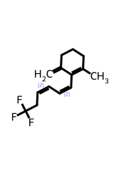 C=C1CCCC(C)=C1/C=C\C=C/CC(F)(F)F